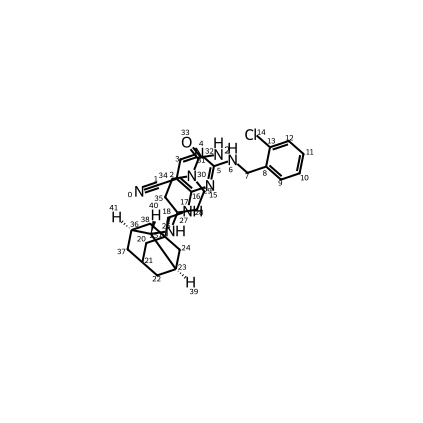 N#Cc1cnc(NCc2ccccc2Cl)nc1NC[C@]12CC3C[C@H](C1)[C@@H](NC1CCN(C(N)=O)CC1)[C@@H](C3)C2